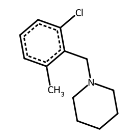 Cc1cccc(Cl)c1CN1CCCCC1